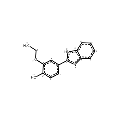 CCOc1cc(-c2nc3ccccc3[nH]2)ccc1O